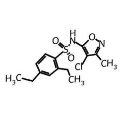 CCc1ccc(S(=O)(=O)Nc2onc(C)c2Cl)c(CC)c1